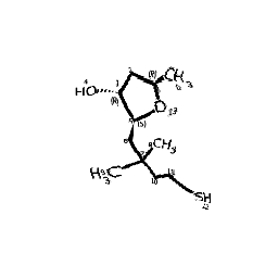 C[C@@H]1C[C@@H](O)[C@H](CC(C)(C)CCS)O1